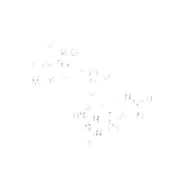 CC(C)OC(=O)c1cc(-c2nn(C)c(C(F)(F)F)c2Br)c(F)cc1Cl.CCNc1nc(Cl)nc(NC(C)(C)C)n1.CCc1cccc(C)c1N(C(=O)CCl)C(C)COC